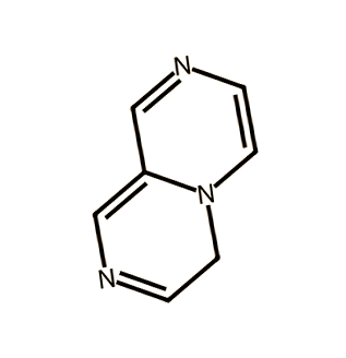 C1=CN2CC=NC=C2C=N1